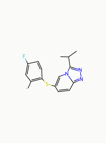 [CH2]c1cc(F)ccc1Sc1ccc2nnc(C(C)C)n2c1